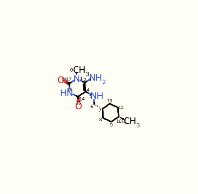 Cn1c(N)c(NC[C@H]2CC[C@H](C)CC2)c(=O)[nH]c1=O